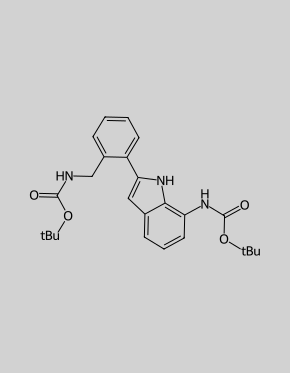 CC(C)(C)OC(=O)NCc1ccccc1-c1cc2cccc(NC(=O)OC(C)(C)C)c2[nH]1